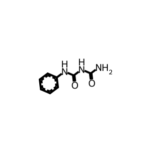 NC(=O)NC(=O)Nc1ccccc1